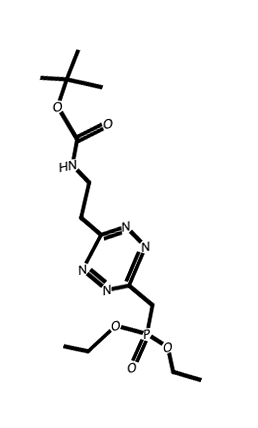 CCOP(=O)(Cc1nnc(CCNC(=O)OC(C)(C)C)nn1)OCC